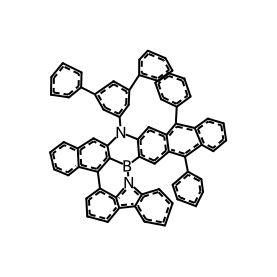 c1ccc(-c2cc(-c3ccccc3)cc(N3c4cc5c(-c6ccccc6)c6ccccc6c(-c6ccccc6)c5cc4B4c5c3cc3ccccc3c5-c3cccc5c6ccccc6n4c35)c2)cc1